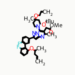 C=CCOC1(C)CCN(c2c([C@H](OC(C)(C)C)C(=O)OC)c(C)nc3cc(-c4ccc(F)c(-c5c(F)cccc5OC(C)CC=C)c4)nn23)CC1